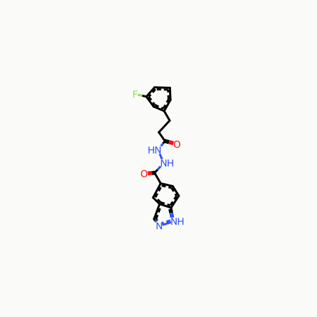 O=C(CCc1cccc(F)c1)NNC(=O)c1ccc2[nH]ncc2c1